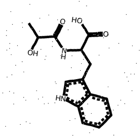 CC(O)C(=O)NC(Cc1c[nH]c2ccccc12)C(=O)O